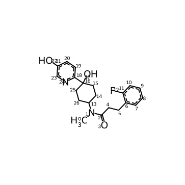 CN(C(=O)CCc1ccccc1F)C1CCC(O)(c2ccc(O)cn2)CC1